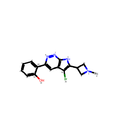 CC(=O)N1CC(c2[nH]c3nnc(-c4ccccc4O)cc3c2Br)C1